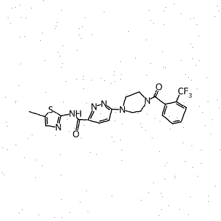 Cc1cnc(NC(=O)c2ccc(N3CCN(C(=O)c4ccccc4C(F)(F)F)CC3)nn2)s1